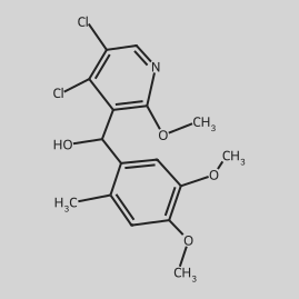 COc1cc(C)c(C(O)c2c(OC)ncc(Cl)c2Cl)cc1OC